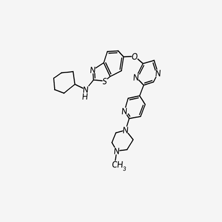 CN1CCN(c2ccc(-c3cncc(Oc4ccc5nc(NC6CCCCC6)sc5c4)n3)cn2)CC1